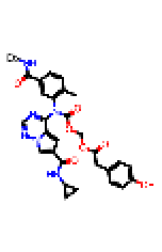 CCNC(=O)c1ccc(C)c(N(C(=O)OCOC(=O)Cc2ccc(O)cc2)c2ncnn3cc(C(=O)NC4CC4)cc23)c1